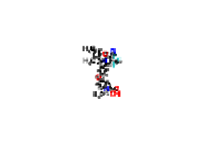 CCn1c(C(=O)O)cc2cc(Oc3ccc(-c4cc(C(F)(F)F)c(C#N)c(=O)n4Cc4ccc(C)cc4C)cc3)ccc21